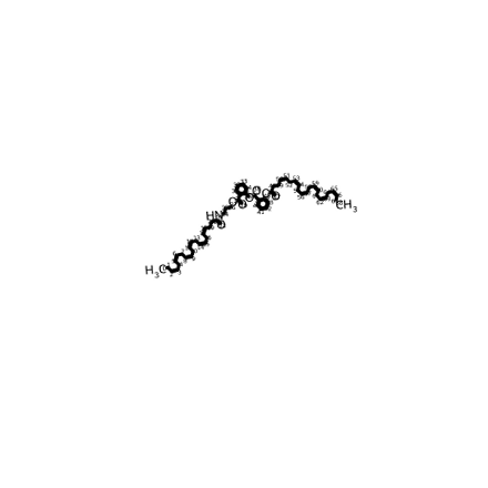 CC/C=C\C/C=C\C/C=C\C/C=C\C/C=C\C/C=C\CCC(=O)NCCCOC(=O)c1ccccc1OC(=O)c1ccccc1OC(=O)CC/C=C\C/C=C\C/C=C\C/C=C\C/C=C\C/C=C\CC